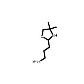 CCCCCCCCCC1NC(C)(C)CO1